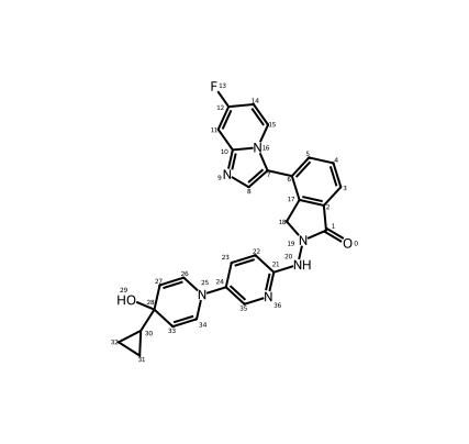 O=C1c2cccc(-c3cnc4cc(F)ccn34)c2CN1Nc1ccc(N2C=CC(O)(C3CC3)C=C2)cn1